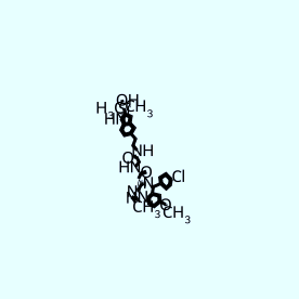 COc1ccc2c(c1)C(c1ccc(Cl)cc1)=N[C@@H](CC(=O)NCC(=O)NCCc1ccc3[nH]c([Si](C)(C)O)cc3c1)c1nnc(C)n1-2